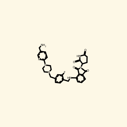 NCc1ccc(N2CCN(Cc3ccc(CNc4cccc5c4C(=O)N(C4CCC(=O)NC4=O)C5=O)c(F)c3)CC2)nc1